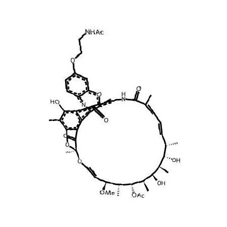 CO[C@H]1/C=C/O[C@@]2(C)Oc3c(C)c(O)c4c(=O)c(c5oc6cc(OCCNC(C)=O)ccc6nc-5c4c3C2=O)NC(=O)/C(C)=C\C=C\[C@H](C)[C@H](O)[C@@H](C)[C@@H](O)[C@@H](C)[C@H](OC(C)=O)[C@@H]1C